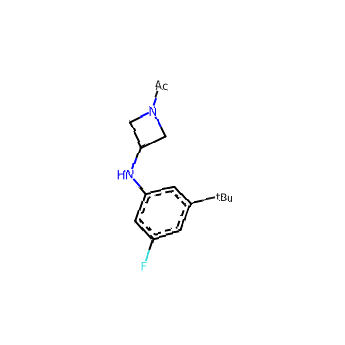 CC(=O)N1CC(Nc2cc(F)cc(C(C)(C)C)c2)C1